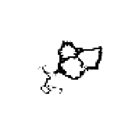 [O-][S+](c1cn2c3c(cccc13)CCC2)C(F)(F)F